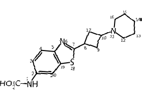 O=C(O)Nc1ccc2nc(C3CC(N4CCCCC4)C3)sc2c1